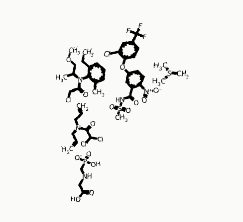 C=CCN(CC=C)C(=O)C(Cl)Cl.CCc1cccc(C)c1N(C(=O)CCl)C(C)COC.CS(=O)(=O)NC(=O)c1cc(Oc2ccc(C(F)(F)F)cc2Cl)ccc1[N+](=O)[O-].C[S+](C)C.O=C(O)CNCP(=O)([O-])O